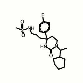 CC(C1CCCCC1)N1CCC(CCCNS(C)(=O)=O)(c2ccc(F)cc2)NC1=O